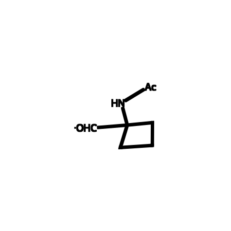 CC(=O)NC1([C]=O)CCC1